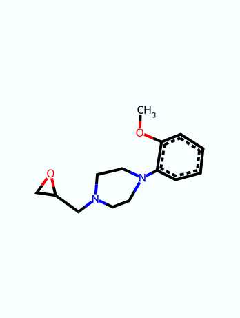 COc1ccccc1N1CCN(CC2CO2)CC1